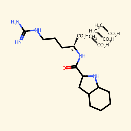 CC(=O)O.CC(=O)O.CC(=O)O.N=C(N)NCCC[C@H](NC(=O)C1CC2CCCCC2N1)C(=O)O